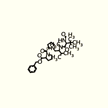 CC(C)C(CN1CCC[C@H]1C(=O)N1CCCC1C(=O)OCc1ccccc1)N(C)C(=O)C(NC=O)C(C)(C)C